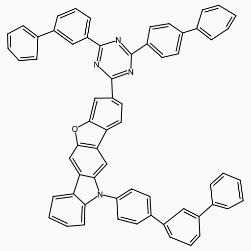 c1ccc(-c2ccc(-c3nc(-c4cccc(-c5ccccc5)c4)nc(-c4ccc5c(c4)oc4cc6c7ccccc7n(-c7ccc(-c8cccc(-c9ccccc9)c8)cc7)c6cc45)n3)cc2)cc1